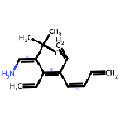 C=C\C=C/C(C=C)=C(C=C)/C(=C\N)C(C)(C)C